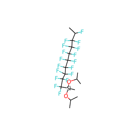 CC(C)O[Si](C)(OC(C)C)C(F)(F)C(F)(F)C(F)(F)C(F)(F)C(F)(F)C(F)(F)C(F)(F)C(F)(F)C(C)F